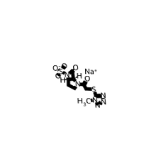 Cn1nnnc1SCC(=O)N1CC[C@@H]2[C@H]1C(=O)N2S(=O)(=O)[O-].[Na+]